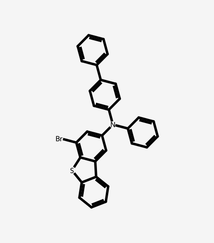 Brc1cc(N(c2ccccc2)c2ccc(-c3ccccc3)cc2)cc2c1sc1ccccc12